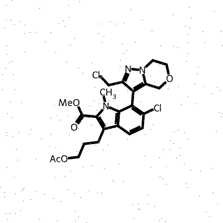 COC(=O)c1c(CCCOC(C)=O)c2ccc(Cl)c(-c3c(CCl)nn4c3COCC4)c2n1C